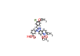 COC(=O)N1c2ccc3c(nc(Cc4ccc(OC)c(F)c4)n3[C@@H]3CCC[C@@H](C(=O)O)C3)c2CC[C@@H]1C